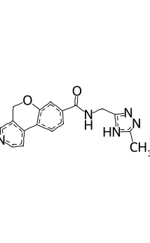 Cc1nnc(CNC(=O)c2ccc3c(c2)OCc2cnccc2-3)[nH]1